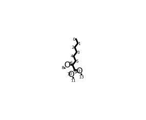 CCCCCCC(OC)[C](OC)OC